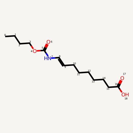 CCCCOC(=O)NC=CCCCCCCC(=O)O